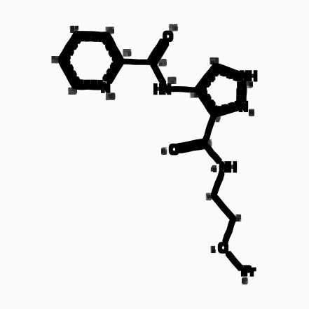 CC(C)OCCNC(=O)c1n[nH]cc1NC(=O)c1ccccn1